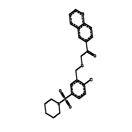 O=C(COCc1cc(S(=O)(=O)N2CCCCC2)ccc1Cl)c1ccc2ncccc2c1